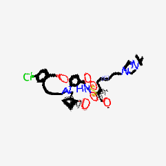 COC[C@H]([C@@H](C)C/C=C/CCN1CCN(C(C)(C)C)CC1)S(=O)(=O)NC(=O)c1ccc2c(c1)N(C[C@@H]1CC[C@H]1OC)CCCCc1cc(Cl)ccc1CO2